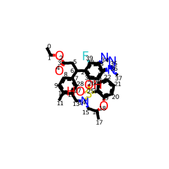 CCOC(=O)CC(c1ccc(C)c(CN2CC(C)Oc3ccccc3S2(O)O)c1)c1ccc2c(nnn2C)c1F